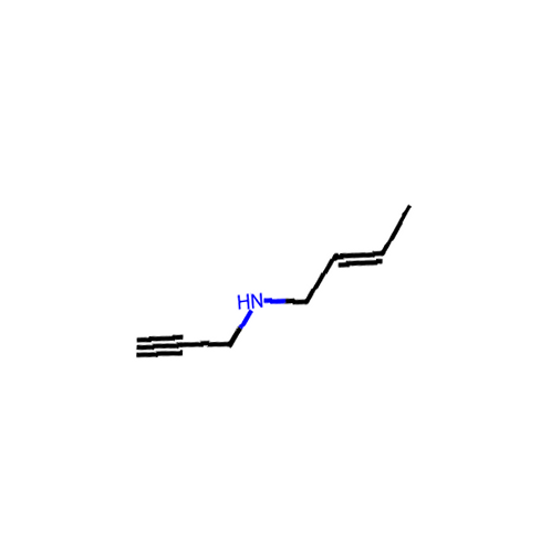 C#CCNCC=CC